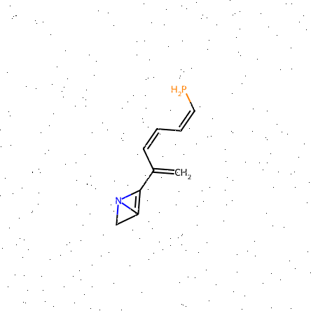 C=C(/C=C\C=C/P)C1=C2CN21